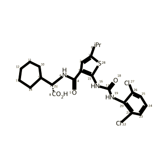 CC(C)c1cc(C(=O)N[C@H](C(=O)O)C2CCCCC2)c(NC(=O)Nc2c(Cl)cccc2Cl)s1